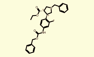 CCOC(=O)[C@@H]1CN(Cc2ccccc2)C[C@H]1c1ccc(NC(=O)OCc2ccccc2)cc1F